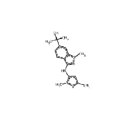 Cc1cc(Nc2nn(C)c3cc(C(C)(C)O)ccc23)n(C)n1